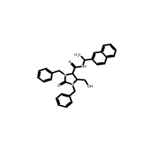 CC(NC(=O)C1C(CO)N(Cc2ccccc2)C(=O)N1Cc1ccccc1)c1ccc2ccccc2c1